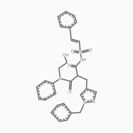 O=C(NS(=O)(=O)/C=C/c1ccccc1)C(Cc1cnn(Cc2ccccc2)c1)C(=O)N(CCO)c1ccccc1